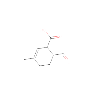 CC1=CC(C(=O)O)C(C=O)CC1